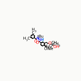 COCc1ccc(C(=O)NN(C(=O)c2cc(C)cc(C)c2)C(C)(C)C)c(F)c1CCOC(C)(C)C(C)(C)O